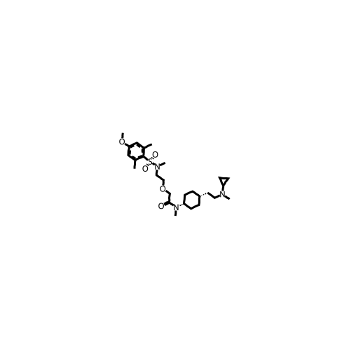 COc1cc(C)c(S(=O)(=O)N(C)CCOCC(=O)N(C)[C@H]2CC[C@@H](CCN(C)C3CC3)CC2)c(C)c1